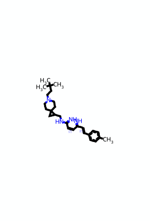 Cc1ccc(/C=C/C(=N)/C=C\C(=N)NCC2CC23CCN(CCC(C)(C)C)CC3)cc1